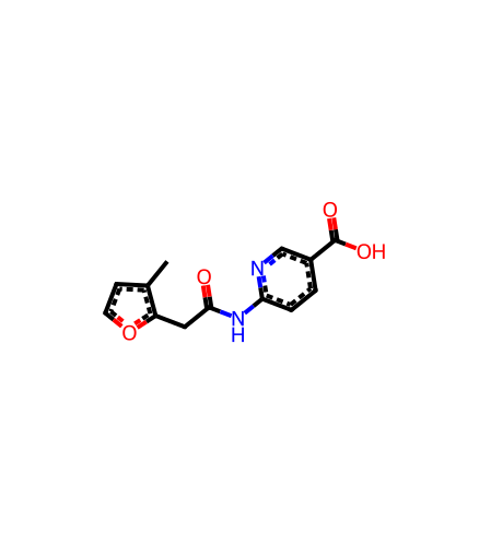 Cc1ccoc1CC(=O)Nc1ccc(C(=O)O)cn1